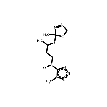 CC(CC[S+]([O-])c1nnnn1C)SC1(C)N=NCO1